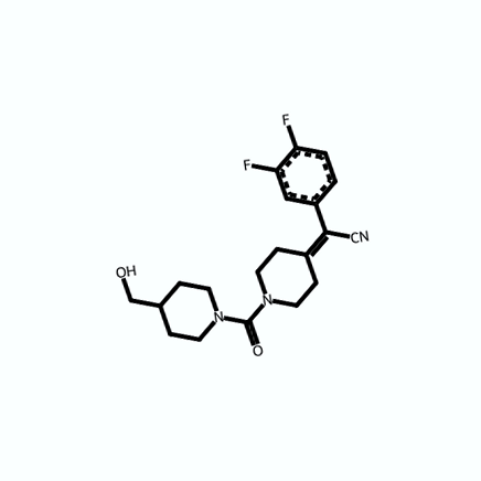 N#CC(=C1CCN(C(=O)N2CCC(CO)CC2)CC1)c1ccc(F)c(F)c1